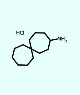 Cl.NC1CCCC2(CCCCCC2)CC1